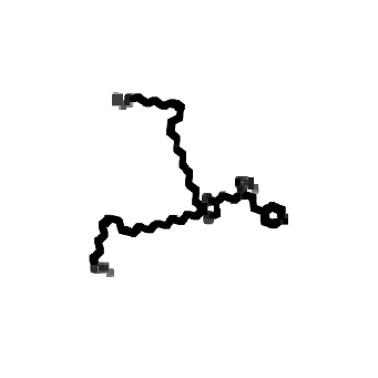 CCCCC/C=C\C/C=C\CCCCCCCCC1(CCCCCCCC/C=C\C/C=C\CCCCC)OCC(CCN(C)CCc2ccncc2)O1